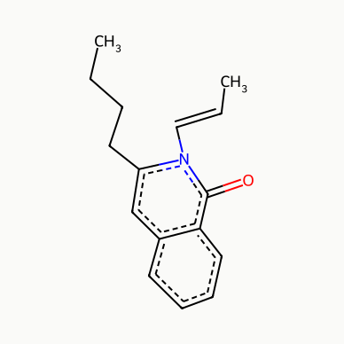 CC=Cn1c(CCCC)cc2ccccc2c1=O